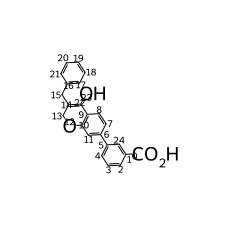 O=C(O)c1cccc(-c2ccc3c(c2)OCC(Cc2ccccc2)=C3O)c1